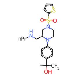 CCCNC[C@H]1CN(S(=O)(=O)c2cccs2)CCN1c1ccc(C(C)(O)C(F)(F)F)cc1